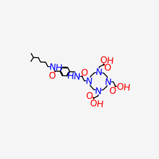 CC(C)CCCCNC(=O)c1ccc(CNC(=O)CN2CCN(CC(=O)O)CCN(CC(=O)O)CCN(CC(=O)O)CC2)cc1